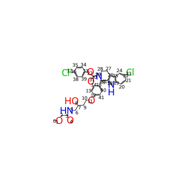 COCC(=O)NCC(O)CCOc1ccc([C@H]2c3[nH]c4ccc(Cl)cc4c3CCN2C(=O)Oc2ccc(Cl)cc2)cc1